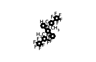 Cc1cc(-c2c(F)c(F)c(F)c(F)c2F)cc(C)c1-n1c2ccccc2c2cc3c(cc21)c1ccccc1n3-c1c(C)cc(-c2c(F)c(F)c(F)c(F)c2F)cc1C(F)(F)F